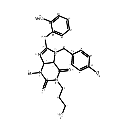 CCN1C(=O)N(CCCO)C(=O)C2C1N=C(Oc1ccccc1OC)N2Cc1ccc(Cl)cc1